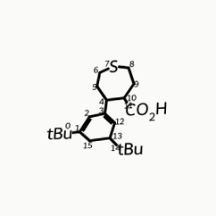 CC(C)(C)C1=CC(C2CCSCCC2C(=O)O)=CC(C(C)(C)C)C1